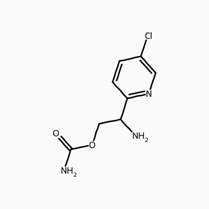 NC(=O)OCC(N)c1ccc(Cl)cn1